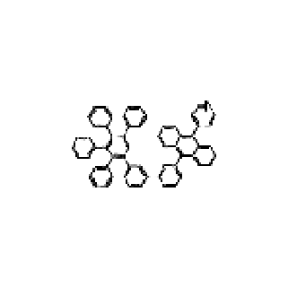 c1ccc(-c2cc(-c3cccc(-c4cccc(-c5c6ccccc6c(-c6ccncc6)c6ccccc56)c4)c3)c(-c3ccccc3)c(-c3ccccc3)c2-c2ccccc2)cc1